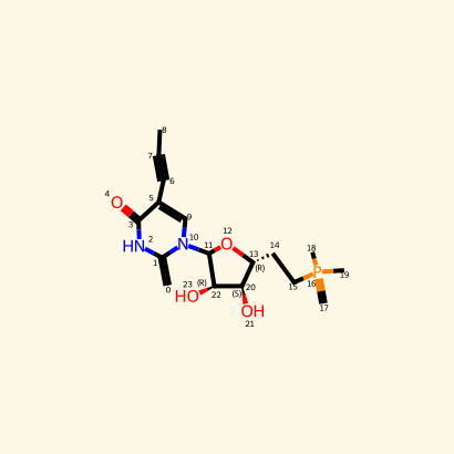 C=C1NC(=O)C(C#CC)=CN1C1O[C@H](CCP(=C)(C)C)[C@@H](O)[C@H]1O